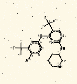 FC(F)(F)c1cnc(N[C@H]2CCCNC2)nc1Nc1ccc(Br)c(C(F)(F)F)n1